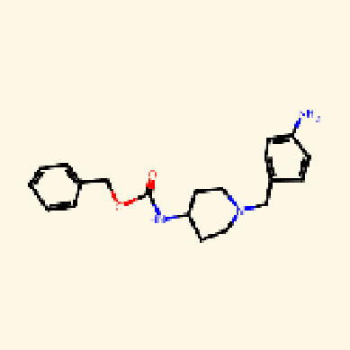 Nc1ccc(CN2CCC(NC(=O)OCc3ccccc3)CC2)cc1